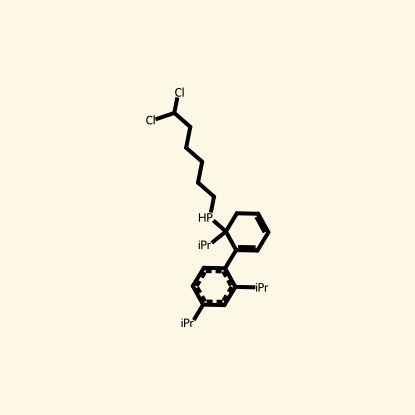 CC(C)c1ccc(C2=CC=CCC2(PCCCCCC(Cl)Cl)C(C)C)c(C(C)C)c1